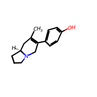 CC1=C(c2ccc(O)cc2)CN2CCC[C@H]2C1